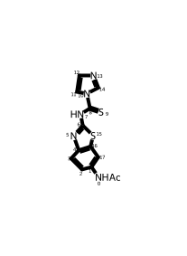 CC(=O)Nc1ccc2nc(NC(=S)n3ccnc3)sc2c1